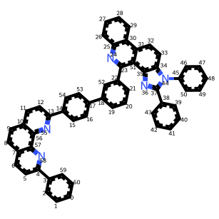 c1ccc(-c2ccc3ccc4ccc(-c5ccc(-c6cccc(-c7nc8ccccc8c8ccc9c(nc(-c%10ccccc%10)n9-c9ccccc9)c78)c6)cc5)nc4c3n2)cc1